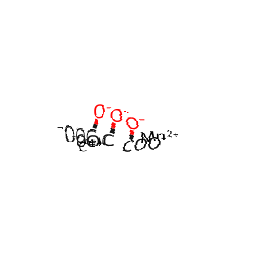 O=C([O-])[O-].O=C([O-])[O-].O=C([O-])[O-].[C+4].[Mn+2]